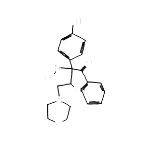 Cc1ccc(C(C(=O)c2ccccc2)(C(C)CN2CCOCC2)N(C)C)cc1